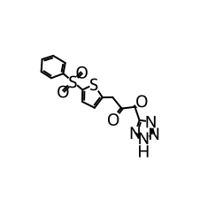 O=C(Cc1ccc(S(=O)(=O)c2ccccc2)s1)C(=O)c1nn[nH]n1